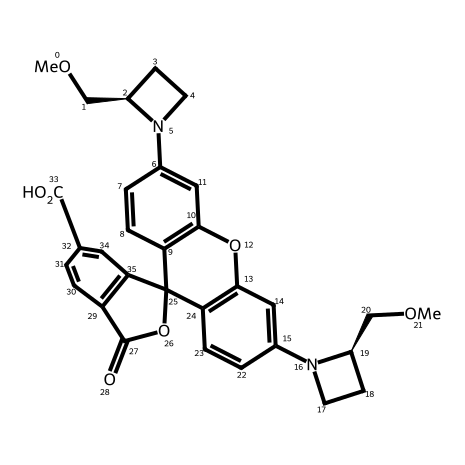 COC[C@H]1CCN1c1ccc2c(c1)Oc1cc(N3CC[C@@H]3COC)ccc1C21OC(=O)c2ccc(C(=O)O)cc21